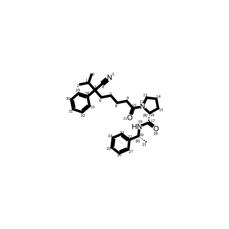 CC(C)C(C#N)(CCCCC(=O)N1CCC[C@@H]1C(=O)N[C@H](C)c1ccccc1)c1ccccc1